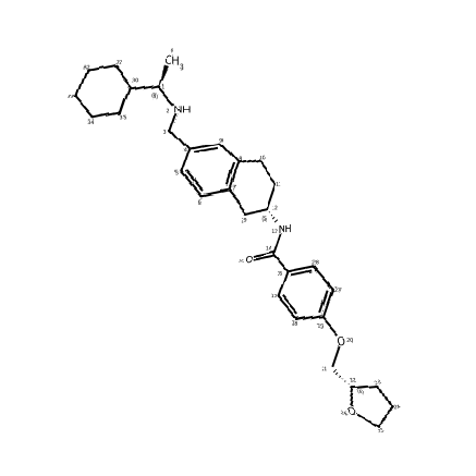 C[C@@H](NCc1ccc2c(c1)CC[C@H](NC(=O)c1ccc(OC[C@@H]3CCCO3)cc1)C2)C1CCCCC1